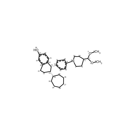 COC(OC)C1CCN(c2ccc([C@H]3c4ccc(O)cc4CC[C@H]3C3CCCCCC3)cc2)CC1